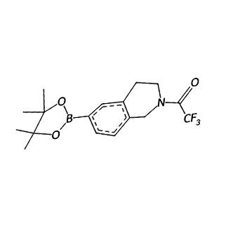 CC1(C)OB(c2ccc3c(c2)CCN(C(=O)C(F)(F)F)C3)OC1(C)C